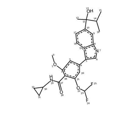 COc1cc(-c2cnc3cc(C(C)(O)C(C)C)ccn23)cc(OC(F)F)c1C(=O)NC1CC1